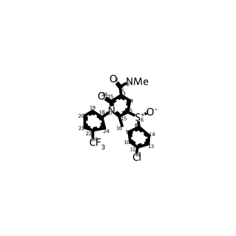 CNC(=O)c1cc([S+]([O-])c2ccc(Cl)cc2)c(C)n(-c2cccc(C(F)(F)F)c2)c1=O